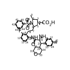 CC1CN(C(=O)O)CC(CCc2c(F)cccc2NC(=O)C(N)C(c2ccc(F)cc2)C2CCOCC2)N1S(=O)(=O)c1ccccc1